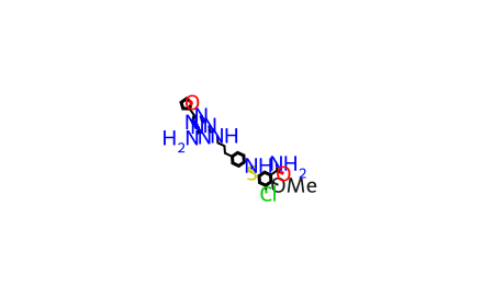 COc1c(Cl)cc(SNc2ccc(CCCNc3nc(N)n4nc(-c5ccco5)nc4n3)cc2)cc1C(N)=O